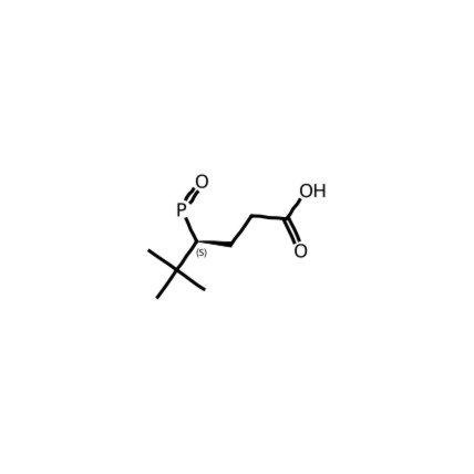 CC(C)(C)[C@H](CCC(=O)O)P=O